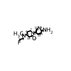 CN(CCF)C1CCN(c2ccc(N)nc2)C(=O)C1